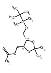 CC(=O)SC[C@@H]1OC(C)(C)O[C@H]1CO[Si](C)(C)C(C)(C)C